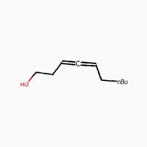 CCCCCC=C=CCCO